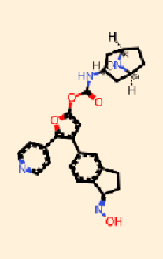 CN1[C@@H]2CC[C@H]1CC(NC(=O)Oc1cc(-c3ccc4c(c3)CCC4=NO)c(-c3ccncc3)o1)C2